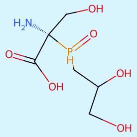 N[C@@](CO)(C(=O)O)[PH](=O)CC(O)CO